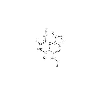 CCNC(=O)N1C(=O)NC(C)=C(C#N)C1c1sccc1C